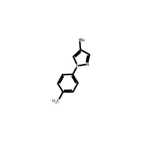 Cc1ccc(-n2cc(C(C)(C)C)cn2)cc1